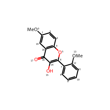 COc1ccc2oc(-c3ccccc3OC)c(O)c(=O)c2c1